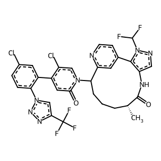 C[C@@H]1CCCC(n2cc(Cl)c(-c3cc(Cl)ccc3-n3cc(C(F)(F)F)nn3)cc2=O)c2cc(ccn2)-c2c(cnn2C(F)F)NC1=O